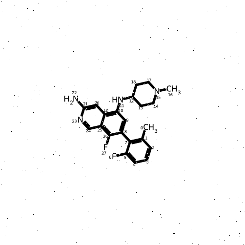 Cc1cccc(F)c1-c1cc(NC2CCN(C)CC2)c2cc(N)ncc2c1F